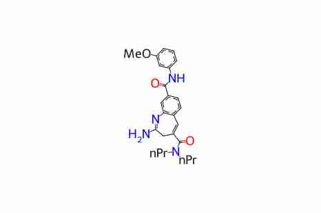 CCCN(CCC)C(=O)C1=Cc2ccc(C(=O)Nc3cccc(OC)c3)cc2N=C(N)C1